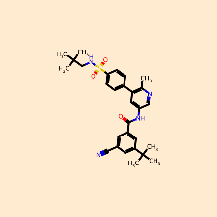 Cc1ncc(NC(=O)c2cc(C#N)cc(C(C)(C)C)c2)cc1-c1ccc(S(=O)(=O)NCC(C)(C)C)cc1